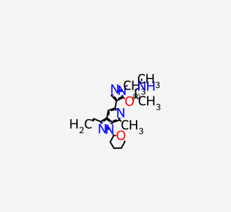 C=Cc1nn(C2CCCCO2)c2c(C)nc(-c3cnn(C)c3O[C@H](C)CNC)cc12